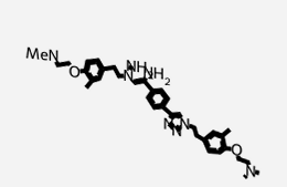 CNCCOc1ccc(CCN(N)/C=C(\N)c2ccc(-c3cn(CCc4ccc(OCCN(C)C)c(C)c4)nn3)cc2)cc1C